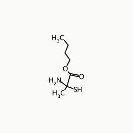 CCCCOC(=O)C(C)(N)S